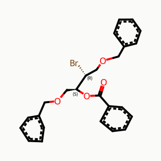 O=C(O[C@@H](COCc1ccccc1)[C@H](Br)COCc1ccccc1)c1ccccc1